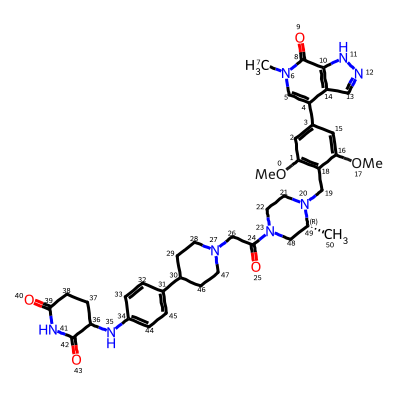 COc1cc(-c2cn(C)c(=O)c3[nH]ncc23)cc(OC)c1CN1CCN(C(=O)CN2CCC(c3ccc(NC4CCC(=O)NC4=O)cc3)CC2)C[C@H]1C